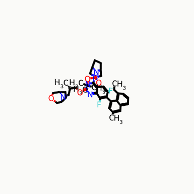 CCc1cccc2cc(C)cc(-c3c(F)cc4c(N5CC6CCC(C5)N6C(=O)OC(C)(C)C)nc(OC[C@H](C)CN5C6CCC5COC6)nc4c3F)c12